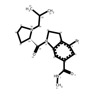 CNC(=O)c1cc(Br)c2c(c1)N(C(=O)[C@@H]1CCCN1C[C](C)C)CC2